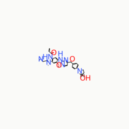 C=CC(=O)Nc1cc(Nc2nccc(C(=O)c3ccc(N4CC[C@@H](O)C4)cc3)n2)c(OC)cc1N(C)CCN(C)C